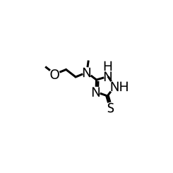 COCCN(C)c1nc(=S)[nH][nH]1